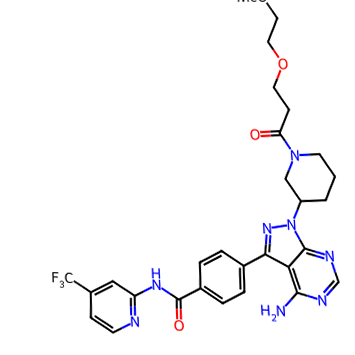 COCCOCCC(=O)N1CCCC(n2nc(-c3ccc(C(=O)Nc4cc(C(F)(F)F)ccn4)cc3)c3c(N)ncnc32)C1